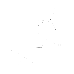 CC(C)(C)[Si](C)(C)OCC1([C]=O)CC(Cl)=NO1